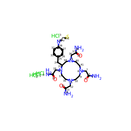 Cl.Cl.Cl.Cl.NC(=O)CN1CCN(CC(N)=O)CCN(CC(N)=O)C(Cc2ccc(N=C=S)cc2)CN(CC(N)=O)CC1